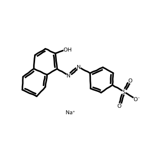 O=S(=O)([O-])c1ccc(/N=N/c2c(O)ccc3ccccc23)cc1.[Na+]